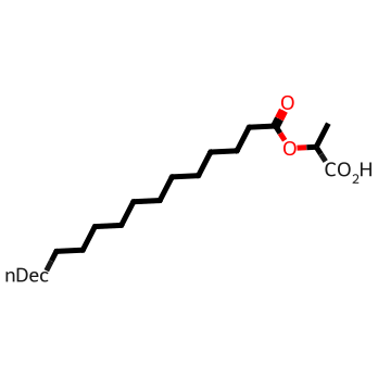 CCCCCCCCCCCCCCCCCCCCCC(=O)OC(C)C(=O)O